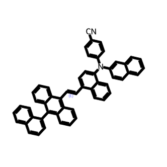 N#Cc1ccc(N(c2ccc3ccccc3c2)c2ccc(/C=C/c3c4ccccc4c(-c4cccc5ccccc45)c4ccccc34)c3ccccc23)cc1